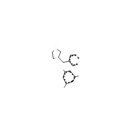 Clc1cc(Cl)cc(O[C@@H](c2cncnc2)[C@H]2CCNC2)c1